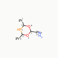 CC(C)C1OC(C(C)C)PC(C(C)C)O1.N